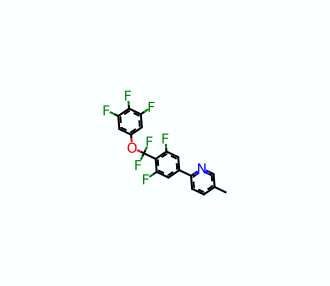 Cc1ccc(-c2cc(F)c(C(F)(F)Oc3cc(F)c(F)c(F)c3)c(F)c2)nc1